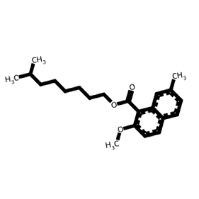 COc1ccc2ccc(C)cc2c1C(=O)OCCCCCCC(C)C